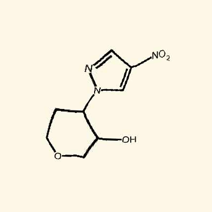 O=[N+]([O-])c1cnn(C2CCOCC2O)c1